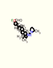 C=C(C)[C@@H]1CC[C@]2(NCCN3CCCCC(C)C3)CC[C@]3(C)[C@H](CC[C@@H]4[C@@]5(C)CC=C(C6=CC[C@](CF)(OC=O)CC6)C(C)(C)[C@@H]5CC[C@]43C)[C@@H]12